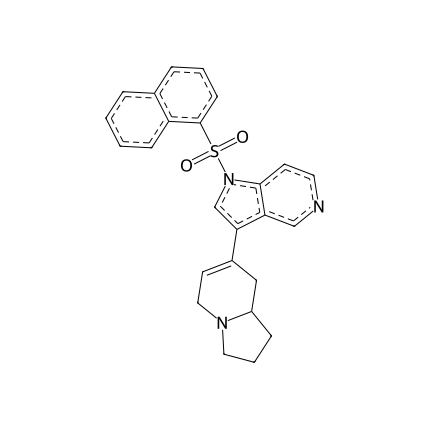 O=S(=O)(c1cccc2ccccc12)n1cc(C2=CCN3CCCC3C2)c2cnccc21